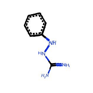 N=C(N)NNc1ccccc1